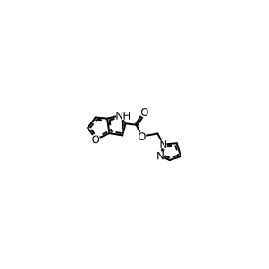 O=C(OCn1cccn1)c1cc2occc2[nH]1